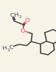 C=CC(=O)OCC(CCC)C1CCCC2CCCCC21